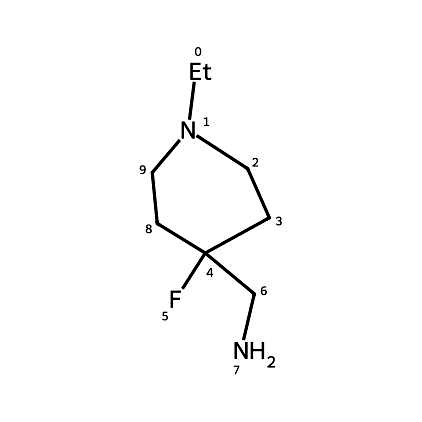 CCN1CCC(F)(CN)CC1